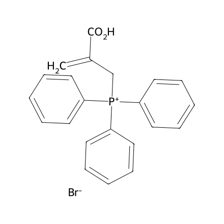 C=C(C[P+](c1ccccc1)(c1ccccc1)c1ccccc1)C(=O)O.[Br-]